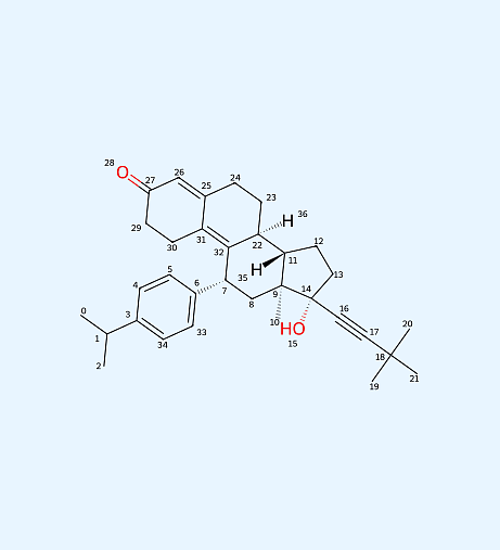 CC(C)c1ccc([C@H]2C[C@@]3(C)[C@@H](CC[C@@]3(O)C#CC(C)(C)C)[C@@H]3CCC4=CC(=O)CCC4=C32)cc1